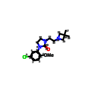 COc1ccc(Cl)cc1N1CCN(CCN2CC(C)(C)C2)C1=O